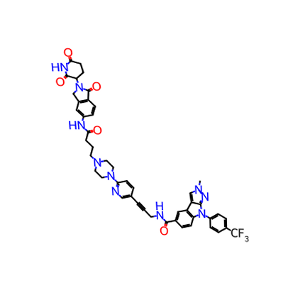 Cn1cc2c3cc(C(=O)NCC#Cc4ccc(N5CCN(CCCC(=O)Nc6ccc7c(c6)CN(C6CCC(=O)NC6=O)C7=O)CC5)nc4)ccc3n(-c3ccc(C(F)(F)F)cc3)c2n1